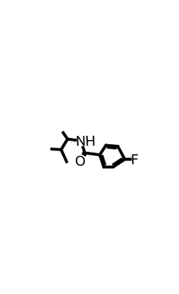 CC(C)C(C)NC(=O)c1ccc(F)cc1